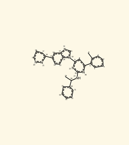 Cc1ccccc1-c1cc(-n2cnc3cc(-c4cccnn4)ccc32)nc(NC(C)c2ccccc2)n1